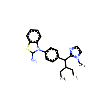 CCC(CC)C(c1ccc(N2c3ccccc3SC2N)cc1)c1nccn1C